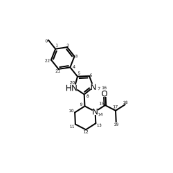 Cc1ccc(-c2cnc(C3CCCCN3C(=O)C(C)C)[nH]2)cc1